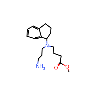 COC(=O)CCCN(CCCN)C1CCCc2ccccc21